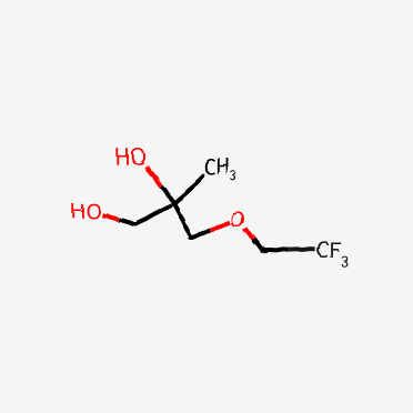 CC(O)(CO)COCC(F)(F)F